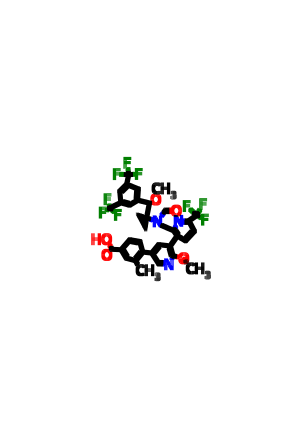 COc1ncc(-c2ccc(C(=O)O)cc2C)cc1-c1ccc(C(F)(F)F)nc1CN(C=O)C1([C@H](OC)c2cc(C(F)(F)F)cc(C(F)(F)F)c2)CC1